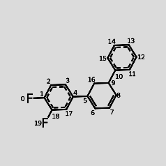 Fc1ccc(C2=CC=CC(c3ccccc3)C2)cc1F